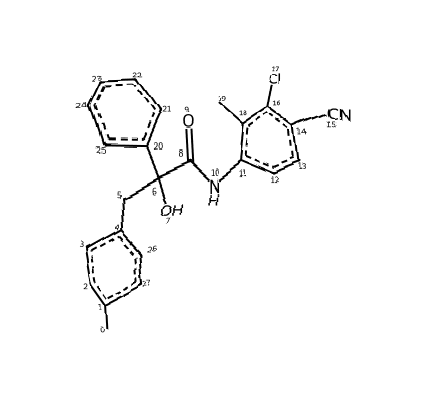 Cc1ccc(CC(O)(C(=O)Nc2ccc(C#N)c(Cl)c2C)c2ccccc2)cc1